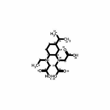 CCN(CC(=O)O)C1CCC(C(C)C)CC1N(CC(=O)O)CC(=O)O